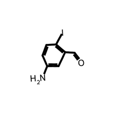 Nc1ccc(I)c(C=O)c1